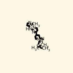 CC[Si](C)(C)Cc1nnc2cc(-c3ccnc(Nc4ccnn4C)n3)ccn12